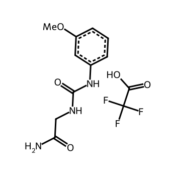 COc1cccc(NC(=O)NCC(N)=O)c1.O=C(O)C(F)(F)F